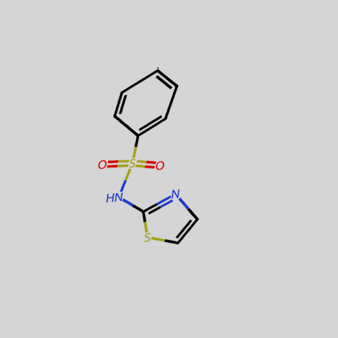 O=S(=O)(Nc1nccs1)c1cc[c]cc1